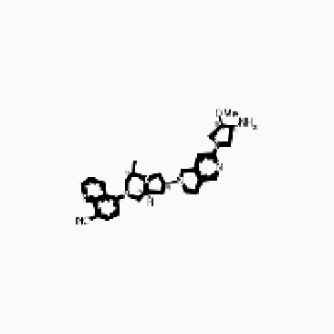 CO[C@@H]1CN(c2cc3c(cn2)CCN([C@H]2C[C@H]4CN(c5ccc(C#N)c6ncccc56)C[C@@H](C)N4C2)C3)C[C@H]1N